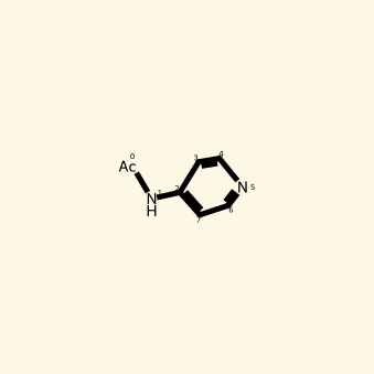 CC(=O)Nc1ccncc1